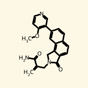 C=C(CN1Cc2c(ccc3ccc(-c4cnccc4OC)cc23)C1=O)C(N)=O